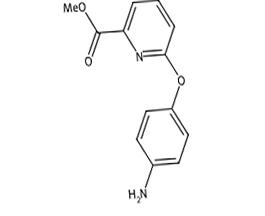 COC(=O)c1cccc(Oc2ccc(N)cc2)n1